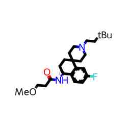 COCCC(=O)N[C@H]1CCC2(CCN(CCC(C)(C)C)CC2)c2cc(F)ccc21